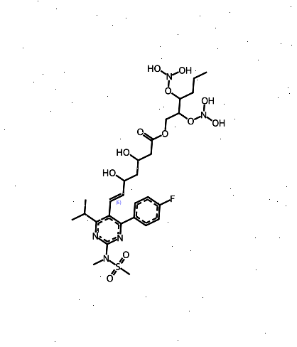 CCCC(ON(O)O)C(COC(=O)CC(O)CC(O)/C=C/c1c(-c2ccc(F)cc2)nc(N(C)S(C)(=O)=O)nc1C(C)C)ON(O)O